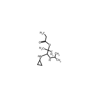 CCC(=O)OC(C)(C)C(NC(C)C)NC1CC1